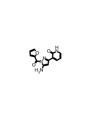 Nc1cc(-c2ccc[nH]c2=O)nn1C(=O)c1ccco1